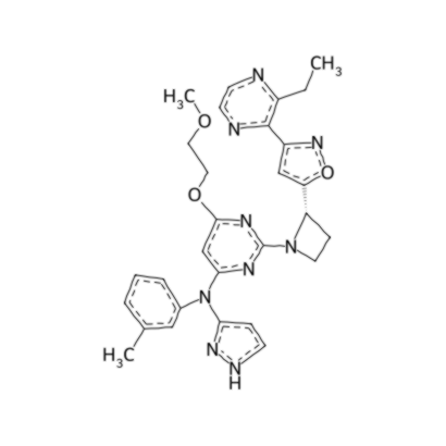 CCc1nccnc1-c1cc([C@@H]2CCN2c2nc(OCCOC)cc(N(c3cccc(C)c3)c3cc[nH]n3)n2)on1